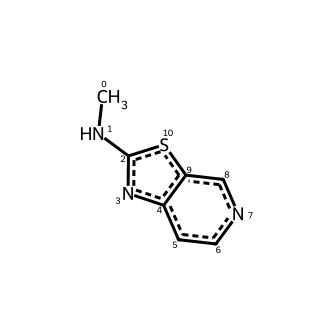 CNc1nc2ccncc2s1